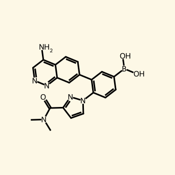 CN(C)C(=O)c1ccn(-c2ccc(B(O)O)cc2-c2ccc3c(N)cnnc3c2)n1